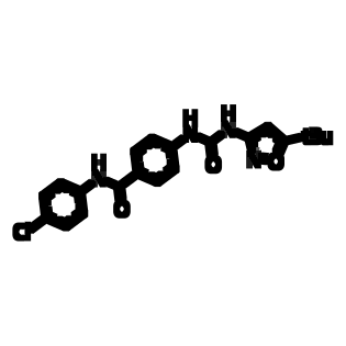 CC(C)(C)c1cc(NC(=O)Nc2ccc(C(=O)Nc3ccc(Cl)cc3)cc2)no1